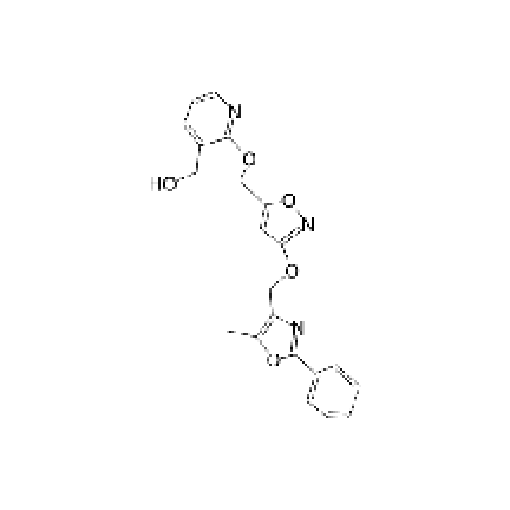 Cc1oc(-c2ccccc2)nc1COc1cc(COc2ncccc2CO)on1